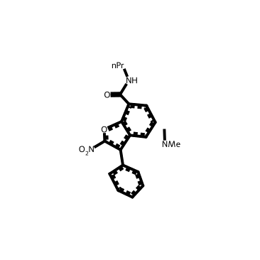 CCCNC(=O)c1cccc2c(-c3ccccc3)c([N+](=O)[O-])oc12.CNC